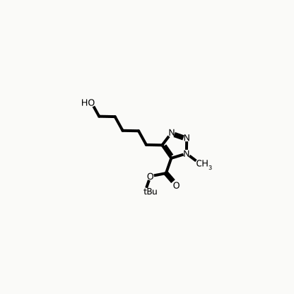 Cn1nnc(CCCCCO)c1C(=O)OC(C)(C)C